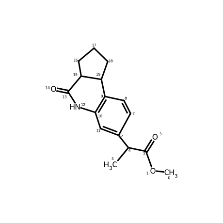 COC(=O)C(C)c1ccc2c(c1)NC(=O)C1CCCC21